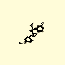 CSc1ccc(CNc2nc3cnc(Cl)nc3n(C3CC3)c2=O)cc1